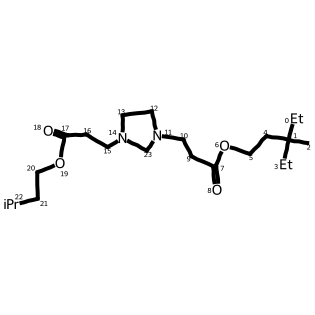 CCC(C)(CC)CCOC(=O)CCN1CCN(CCC(=O)OCCC(C)C)C1